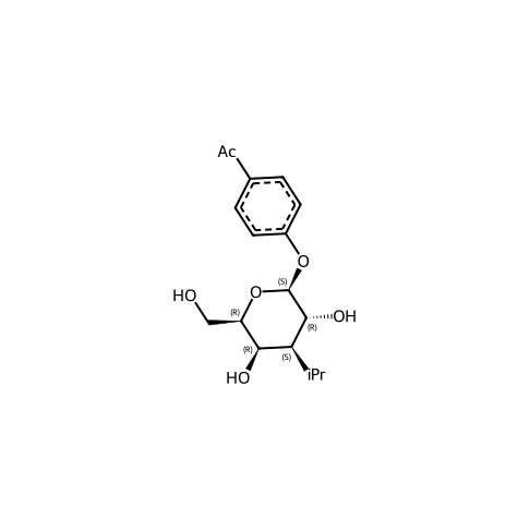 CC(=O)c1ccc(O[C@@H]2O[C@H](CO)[C@H](O)[C@H](C(C)C)[C@H]2O)cc1